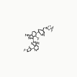 Fc1ccc(-c2nccc3[nH]c(-c4n[nH]c5ccc(-c6cncc(CN7CCC(F)(F)C7)c6)c(F)c45)nc23)s1